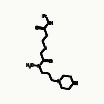 CC(C)NC(=O)CCSCC(=O)N(C)CCCN1CCNCC1